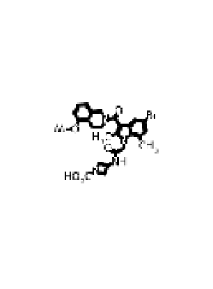 COc1cccc2c1CCN(C(=O)c1c(C)n(CC(=O)NC3CN(C(=O)O)C3)c3c(C)cc(Br)cc13)C2